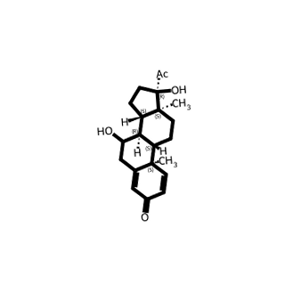 CC(=O)[C@@]1(O)CC[C@H]2[C@@H]3C(O)CC4=CC(=O)C=C[C@]4(C)[C@H]3CC[C@@]21C